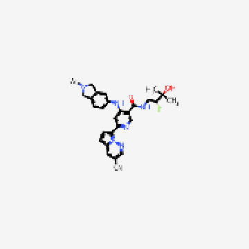 CC(=O)N1Cc2ccc(Nc3cc(-c4ccc5cc(C#N)cnn45)ncc3C(=O)NC[C@@H](F)C(C)(C)O)cc2C1